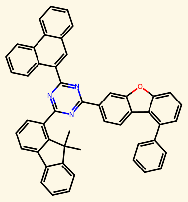 CC1(C)c2ccccc2-c2cccc(-c3nc(-c4ccc5c(c4)oc4cccc(-c6ccccc6)c45)nc(-c4cc5ccccc5c5ccccc45)n3)c21